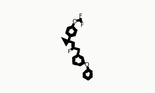 FC(=CC1(c2ccc(OC(F)F)cc2)CC1)Cc1cccc(Oc2ccccc2)c1